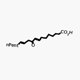 CCCCCC=CCC(=O)C=CCCCCCCC(=O)O